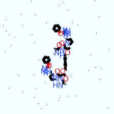 CN[C@@H](C)C(=O)N[C@H](C(=O)N1CCC[C@H]1Cn1nnnc1Oc1ccccc1)C(C)OCC#CC#CCOC(C)[C@H](NC(=O)[C@H](C)NC)C(=O)N1CCC[C@H]1Cn1nnnc1Oc1ccccc1